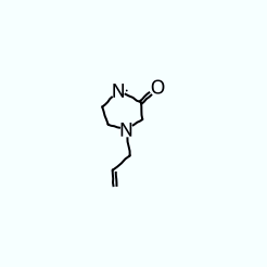 C=CCN1CC[N]C(=O)C1